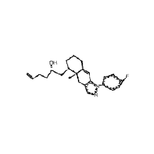 C=CCC[C@H](O)C[C@H]1CCCC2=Cc3c(cnn3-c3ccc(F)cc3)C[C@@]21C